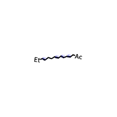 CC/C=C/CC/C=C/C=C/C=C/CC(C)=O